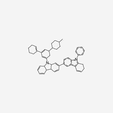 CC1CCC(C2C=C(C3=CCCCC3)C=C(N3C4C=CC=CC4C4C=CC(c5ccc6c(c5)c5c(n6-c6ccccc6)CCC=C5)=CC43)C2)CC1